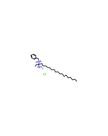 CCCCCCCCCCCCCCCCCCC(N)(CC)[N+](C)(C)Cc1ccccc1.[Cl-]